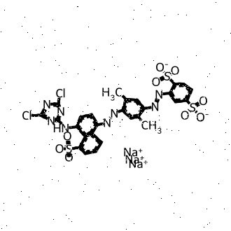 Cc1cc(N=Nc2ccc(Nc3nc(Cl)nc(Cl)n3)c3c(S(=O)(=O)[O-])cccc23)c(C)cc1N=Nc1cc(S(=O)(=O)[O-])ccc1S(=O)(=O)[O-].[Na+].[Na+].[Na+]